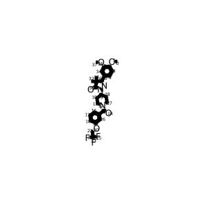 COc1ccc(C2=NN(C3CCN(C(=O)c4cccc(OCC(F)(F)F)c4)CC3)C(=O)C2(C)C)cc1OC